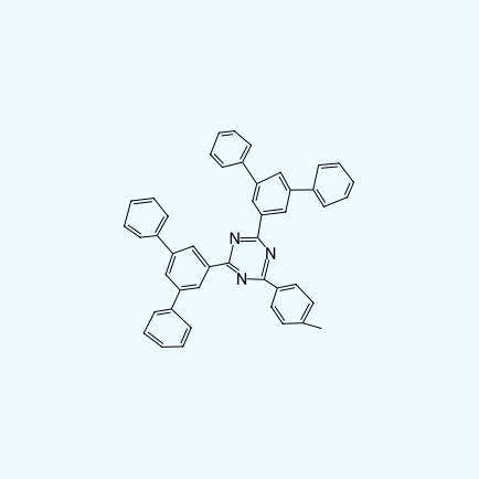 Cc1ccc(-c2nc(-c3cc(-c4ccccc4)cc(-c4ccccc4)c3)nc(-c3cc(-c4ccccc4)cc(-c4ccccc4)c3)n2)cc1